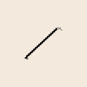 CCCCCCCCCCCCCCCCCCCCCCCCCCCCCCCCCCCCC1CO1